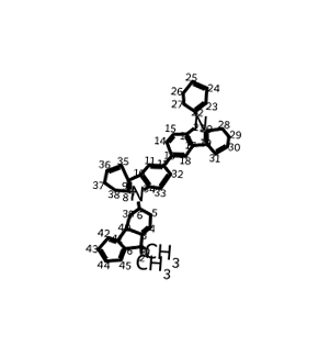 CC1(C)C2=CCC(n3c4c(c5cc(-c6ccc7c(c6)c6c(n7C7=CC=CCC7)CCC=C6)ccc53)C=CCC4)CC2c2ccccc21